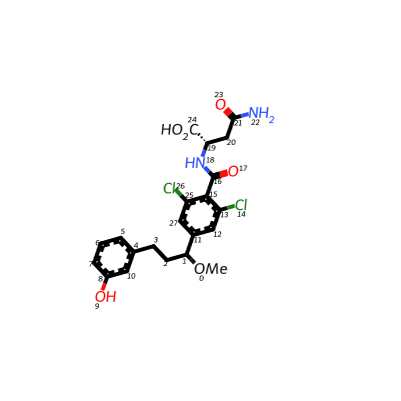 COC(CCc1cccc(O)c1)c1cc(Cl)c(C(=O)N[C@@H](CC(N)=O)C(=O)O)c(Cl)c1